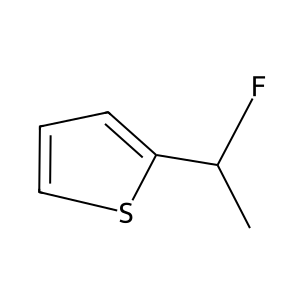 CC(F)c1cccs1